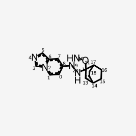 c1cn2cncc2cc1N1NOC2(CC3CCC2CC3)N1